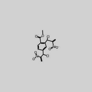 C=C(C(Cl)c1ccc(C(=O)OC)c(C(Cl)C(=C)[N+](=O)[O-])c1)[N+](=O)[O-]